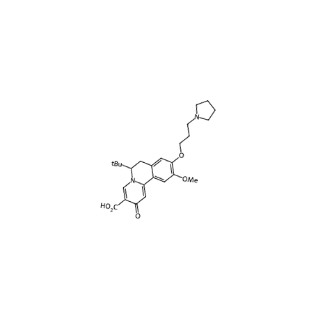 COc1cc2c(cc1OCCCN1CCCC1)CC(C(C)(C)C)n1cc(C(=O)O)c(=O)cc1-2